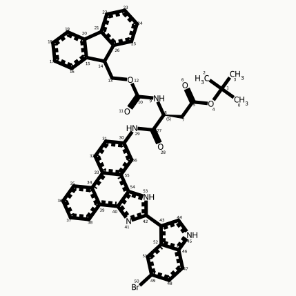 CC(C)(C)OC(=O)C[C@H](NC(=O)OCC1c2ccccc2-c2ccccc21)C(=O)Nc1ccc2c3ccccc3c3nc(-c4c[nH]c5ccc(Br)cc45)[nH]c3c2c1